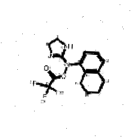 O=C(ON(C1=NCCN1)c1cccc2c1CCCC2)C(F)(F)F